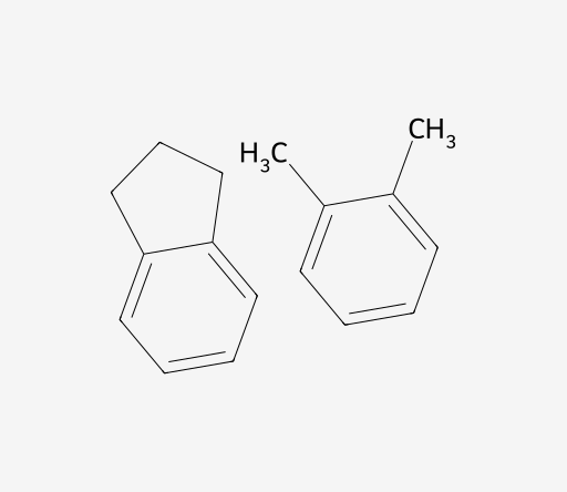 Cc1ccccc1C.c1ccc2c(c1)CCC2